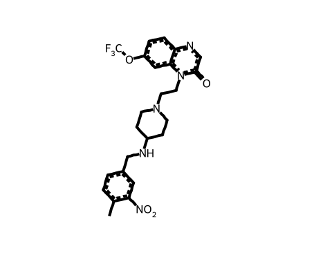 Cc1ccc(CNC2CCN(CCn3c(=O)cnc4ccc(OC(F)(F)F)cc43)CC2)cc1[N+](=O)[O-]